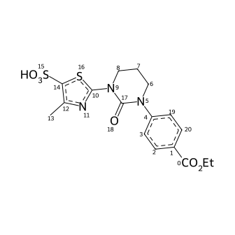 CCOC(=O)c1ccc(N2CCCN(c3nc(C)c(S(=O)(=O)O)s3)C2=O)cc1